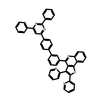 c1ccc(-c2cc(-c3ccc(-c4cccc(-c5nc6ccccc6c6oc(-c7ccccn7)c(-c7ccccn7)c56)c4)cc3)nc(-c3ccccc3)n2)cc1